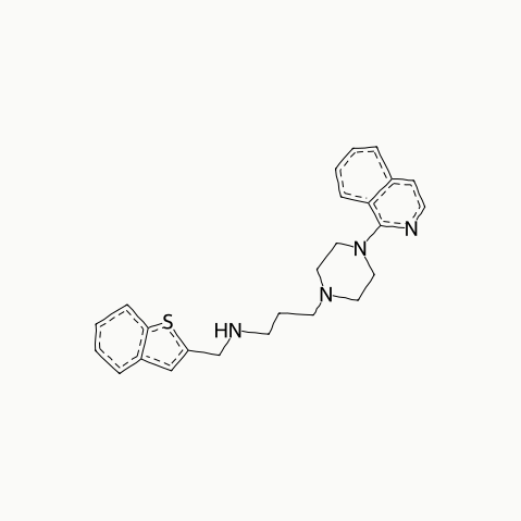 c1ccc2sc(CNCCCN3CCN(c4nccc5ccccc45)CC3)cc2c1